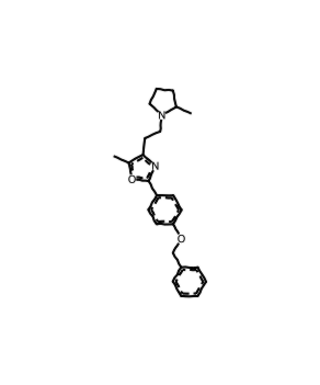 Cc1oc(-c2ccc(OCc3ccccc3)cc2)nc1CCN1CCCC1C